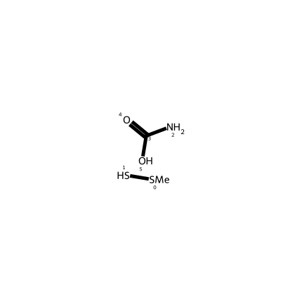 CSS.NC(=O)O